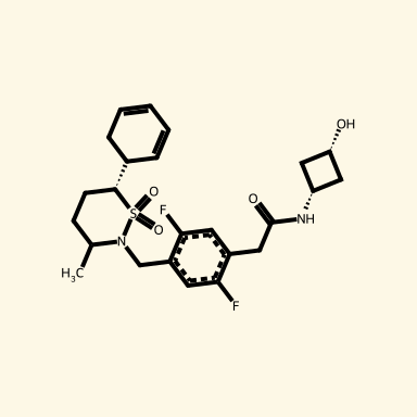 CC1CC[C@H](C2C=CC=CC2)S(=O)(=O)N1Cc1cc(F)c(CC(=O)N[C@H]2C[C@@H](O)C2)cc1F